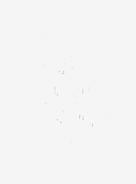 O=C(NC1(C2CC2)CC1)c1ccccc1NC(=O)C1(O)CC(C(F)(F)F)=NN1c1ncccc1Cl